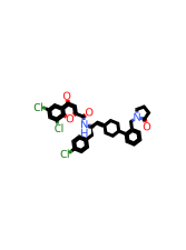 O=C(N[C@@H](C=C1CCC(c2ccccc2CN2CCCC2=O)CC1)Cc1ccc(Cl)cc1)c1cc(=O)c2cc(Cl)cc(Cl)c2o1